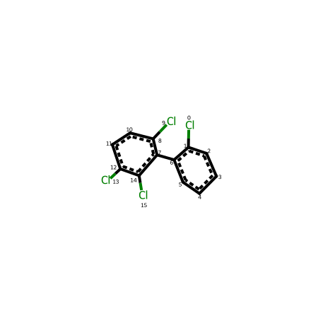 Clc1ccccc1-c1c(Cl)ccc(Cl)c1Cl